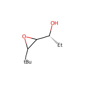 CC[C@@H](O)C1OC1C(C)(C)C